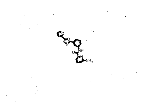 Nc1cccc(C(=O)Nc2cccc(-c3nnc(-c4ccco4)o3)c2)n1